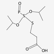 CC(C)OS(OC(C)C)(P=O)SCCC(=O)O